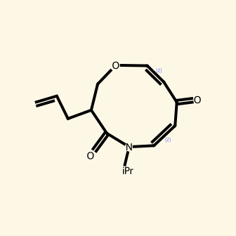 C=CCC1CO/C=C\C(=O)/C=C\N(C(C)C)C1=O